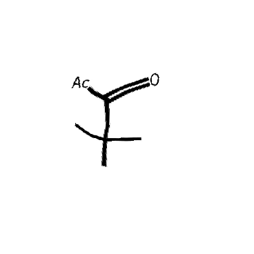 CC(=O)C(=O)C(C)(C)C